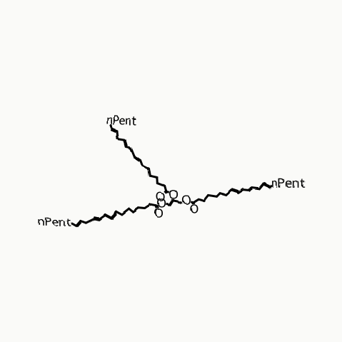 CCCCC/C=C/C/C=C/C/C=C/CCCCCCC(=O)OCC(COC(=O)CCCCCC/C=C/C/C=C/C/C=C/CCCCC)OC(=O)CCCCCC/C=C/C/C=C/C/C=C/CCCCC